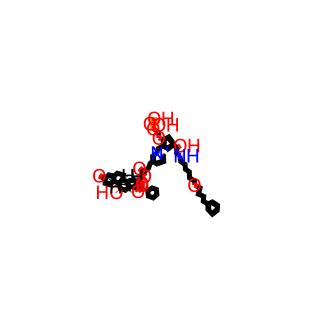 C[C@]12C=CC(=O)C=C1CC[C@@H]1[C@@H]2[C@@H](O)C[C@@]2(C)[C@H]1C[C@H]1O[C@@H](C3CCCCC3)O[C@]12C(=O)COC(=O)CCc1ccc[n+](Cc2cc(C(O)CNCCCCCCOCCCCc3ccccc3)ccc2OCOP(=O)(O)O)c1